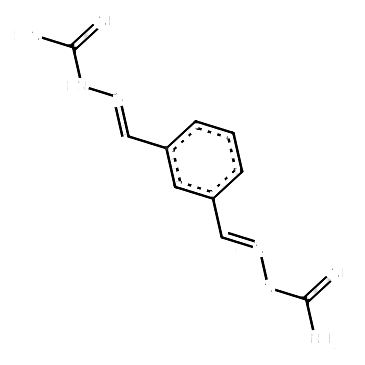 N=C(N)N/N=C/c1cccc(/C=N/NC(=N)N)c1